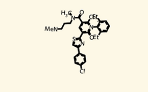 CCc1cccc(CC)c1-n1c(C)c(C(=O)N(C)CCCNC)cc(-c2nc(-c3ccc(Cl)cc3)cs2)c1=O